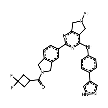 CC(=O)N1Cc2nc(-c3ccc4c(c3)CN(C(=O)C3CC(F)(F)C3)C4)nc(Nc3ccc(-c4cn[nH]c4)cc3)c2C1